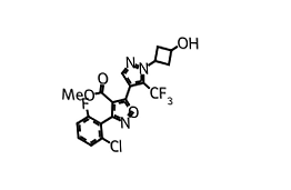 COC(=O)c1c(-c2c(F)cccc2Cl)noc1-c1cnn(C2CC(O)C2)c1C(F)(F)F